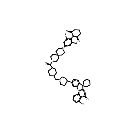 O=C(C1CCC(CN2CCC(c3ccc4c(c3)-n3c(nc(=O)c5c(Cl)cccc53)C43CCCCC3)CC2)CC1)N1CCC2(CC1)CCN(c1cc(F)c(N3C(=O)CCCC3=O)c(F)c1)CC2